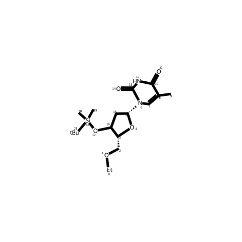 CCOC[C@H]1O[C@@H](n2cc(C)c(=O)[nH]c2=O)CC1O[Si](C)(C)C(C)(C)C